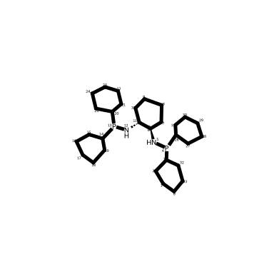 C1CCC(P(N[C@@H]2CCCC[C@H]2NP(C2CCCCC2)C2CCCCC2)C2CCCCC2)CC1